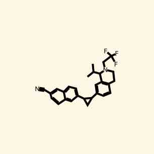 CC(C)C1c2cc(C3CC3c3ccc4cc(C#N)ccc4c3)ccc2CCN1CC(F)(F)F